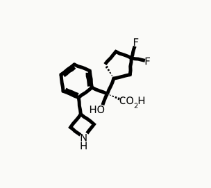 O=C(O)[C@](O)(c1ccccc1C1CNC1)[C@@H]1CCC(F)(F)C1